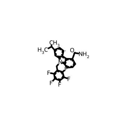 CC(C)c1c[c]c2c3c(C(N)=O)cccc3n(Cc3c(F)c(F)c(F)c(F)c3F)c2c1